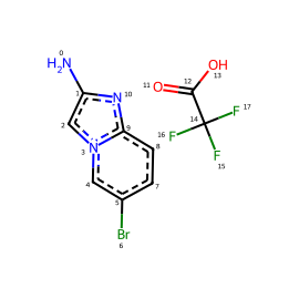 Nc1cn2cc(Br)ccc2n1.O=C(O)C(F)(F)F